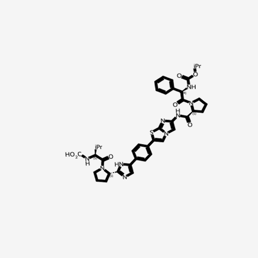 CC(C)OC(=O)N[C@@H](C(=O)N1CCC[C@H]1C(=O)Nc1cn2cc(-c3ccc(-c4cnc([C@@H]5CCCN5C(=O)[C@@H](NC(=O)O)C(C)C)[nH]4)cc3)sc2n1)c1ccccc1